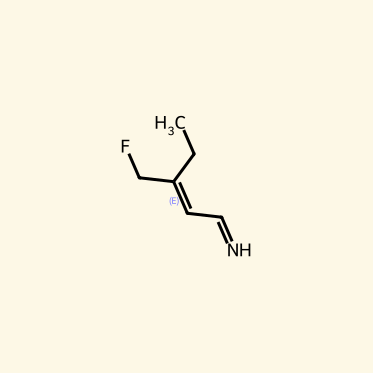 CC/C(=C\C=N)CF